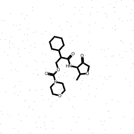 CC1OCC(=O)C1NC(=O)C(COC(=O)N1CCOCC1)C1CCCCC1